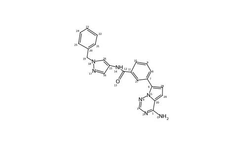 Nc1ncnn2c(-c3cccc(C(=O)Nc4cnn(Cc5ccccc5)c4)c3)ccc12